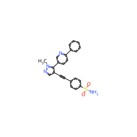 Cn1ncc(C#Cc2ccc(S(N)(=O)=O)cc2)c1-c1ccc(-c2ccccc2)nc1